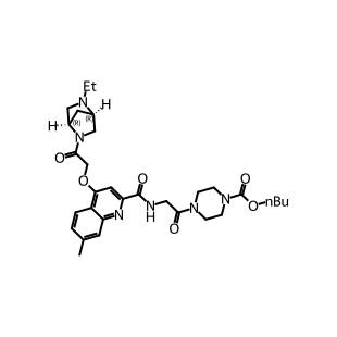 CCCCOC(=O)N1CCN(C(=O)CNC(=O)c2cc(OCC(=O)N3C[C@H]4C[C@@H]3CN4CC)c3ccc(C)cc3n2)CC1